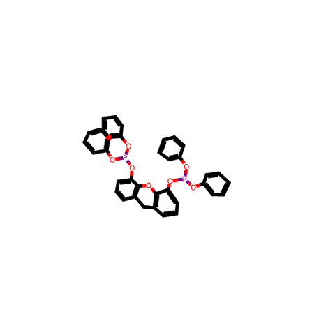 c1ccc(OP(Oc2ccccc2)Oc2cccc3c2Oc2c(cccc2OP(Oc2ccccc2)Oc2ccccc2)C3)cc1